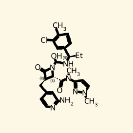 CC[C@@H](NC(O)N1C(=O)[C@H](Cc2ccnc(N)c2)[C@H]1C(=O)N(C)c1ccn(C)n1)c1ccc(C)c(Cl)c1